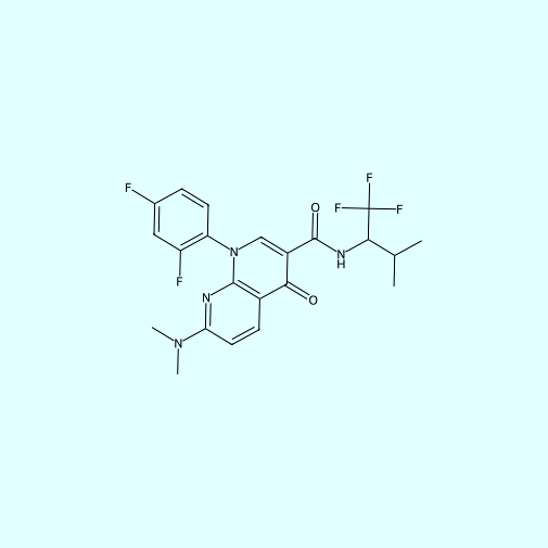 CC(C)C(NC(=O)c1cn(-c2ccc(F)cc2F)c2nc(N(C)C)ccc2c1=O)C(F)(F)F